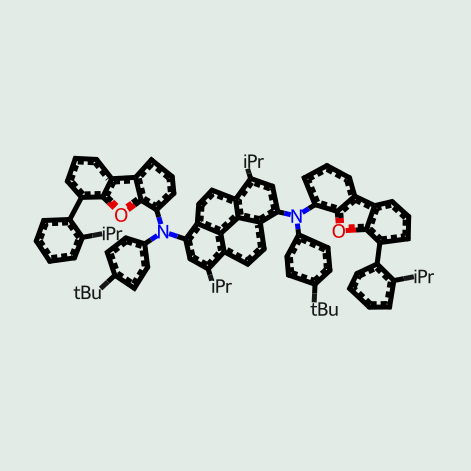 CC(C)c1ccccc1-c1cccc2c1oc1c(N(c3ccc(C(C)(C)C)cc3)c3cc(C(C)C)c4ccc5c(N(c6ccc(C(C)(C)C)cc6)c6cccc7c6oc6c(-c8ccccc8C(C)C)cccc67)cc(C(C)C)c6ccc3c4c65)cccc12